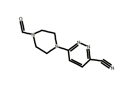 N#Cc1ccc(N2CCN(C=O)CC2)nn1